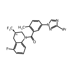 Cc1ccc(-n2cnc(C(C)C)n2)cc1C(=O)N1C[C@H](C(F)(F)F)Cc2c(F)cccc21